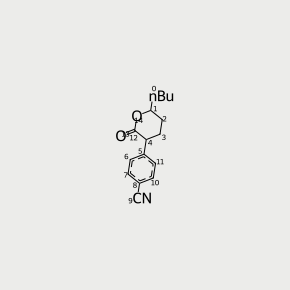 CCCCC1CCC(c2ccc(C#N)cc2)C(=O)O1